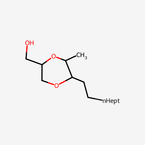 CCCCCCCCCC1OCC(CO)OC1C